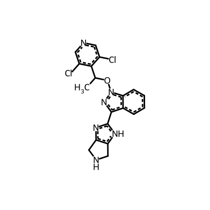 CC(On1nc(-c2nc3c([nH]2)CNC3)c2ccccc21)c1c(Cl)cncc1Cl